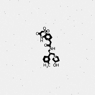 Cc1cccc([C@@H](CNC(=O)Cc2ccc3c(c2)NC(=O)CS3(=O)=O)CN2CC[C@H](O)C2)c1